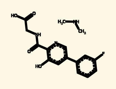 CNC.O=C(O)CNC(=O)c1ncc(-c2cccc(F)c2)cc1O